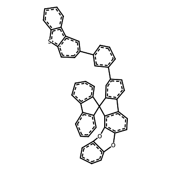 c1cc(-c2ccc3c(c2)C2(c4ccccc4-c4ccccc42)c2c-3ccc3c2Oc2ccccc2O3)cc(-c2ccc3sc4ccccc4c3c2)c1